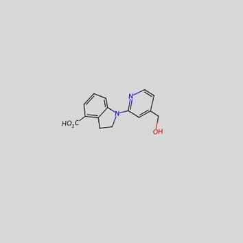 O=C(O)c1cccc2c1CCN2c1cc(CO)ccn1